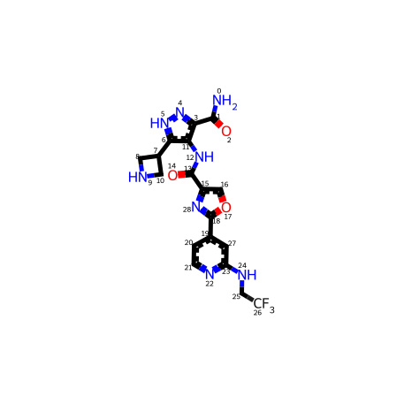 NC(=O)c1n[nH]c(C2CNC2)c1NC(=O)c1coc(-c2ccnc(NCC(F)(F)F)c2)n1